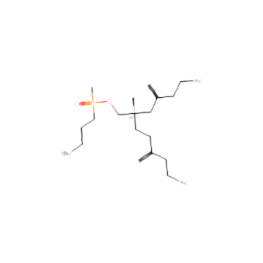 C=C(CCC(C)=O)CC[C@](C)(COP(C)(=O)CCCC(C)(C)C)CC(=C)CCC(C)=O